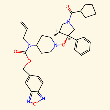 C=CCN(C(=O)OCc1ccc2nonc2c1)C1CCN(O[C@]2(c3ccccc3)CN(C(=O)C3CCCC3)C[C@@H]2C)CC1